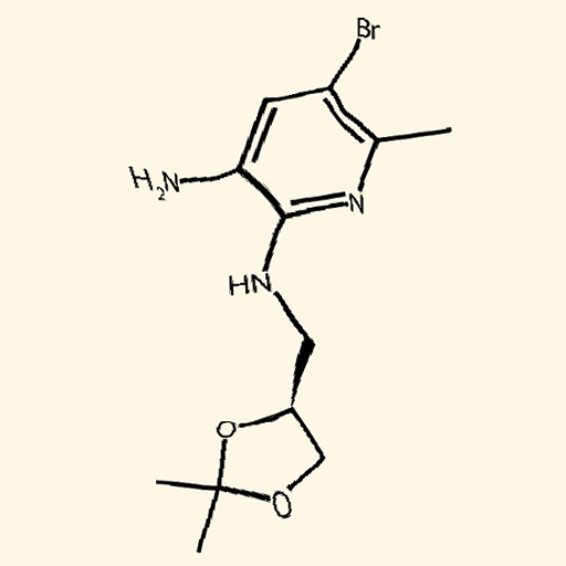 Cc1nc(NC[C@H]2COC(C)(C)O2)c(N)cc1Br